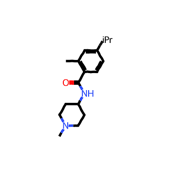 Cc1cc(C(C)C)ccc1C(=O)NC1CCN(C)CC1